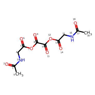 CC(=O)NCC(=O)OC(=O)C(=O)OC(=O)CNC(C)=O